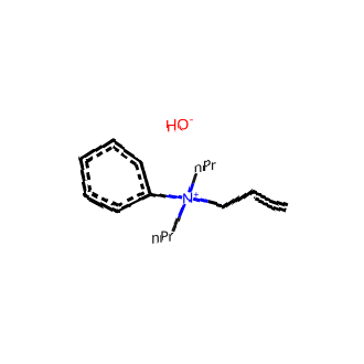 C=CC[N+](CCC)(CCC)c1ccccc1.[OH-]